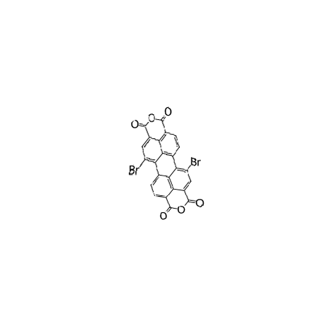 O=C1OC(=O)c2cc(Br)c3c4ccc5c6c(cc(Br)c(c7ccc1c2c73)c64)C(=O)OC5=O